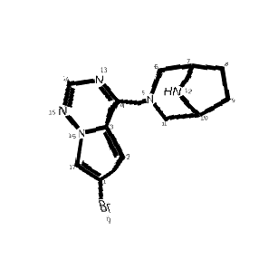 Brc1cc2c(N3CC4CCC(C3)N4)ncnn2c1